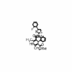 COC(=O)C1=C(C)NC(C)=C(C(=O)OC)C1c1ccccc1Nc1nc(-c2ccccc2F)cs1